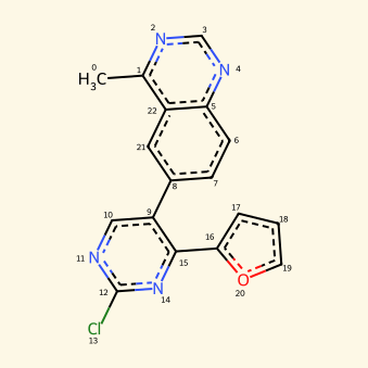 Cc1ncnc2ccc(-c3cnc(Cl)nc3-c3ccco3)cc12